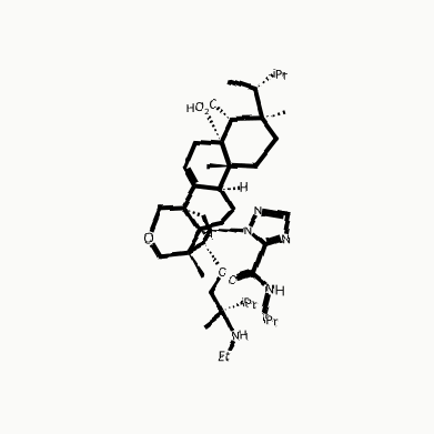 CCN[C@@](C)(CO[C@H]1[C@H](n2ncnc2C(=O)NC(C)C)C[C@@]23COC[C@]1(C)[C@@H]2CC[C@H]1C3=CC[C@@]2(C)[C@H](C(=O)O)[C@@](C)([C@H](C)C(C)C)CC[C@]12C)C(C)C